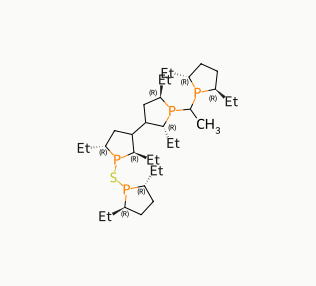 CC[C@@H]1CC[C@@H](CC)P1SP1[C@H](CC)CC(C2C[C@@H](CC)P(C(C)P3[C@H](CC)CC[C@H]3CC)[C@@H]2CC)[C@H]1CC